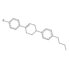 CCCCc1ccc(C2CC=C(c3ccc(F)cc3)CC2)cc1